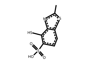 Cc1nc2c(S)c(S(=O)(=O)O)ccc2s1